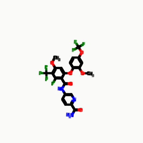 COc1cc(OC(F)(F)F)ccc1Oc1cc(OC)c(C(F)(F)F)c(F)c1C(=O)Nc1ccc(C(N)=O)nc1